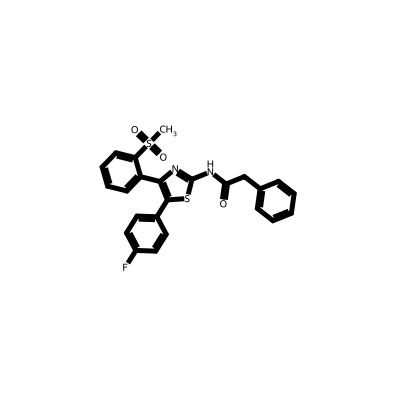 CS(=O)(=O)c1ccccc1-c1nc(NC(=O)Cc2ccccc2)sc1-c1ccc(F)cc1